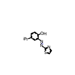 CC(C)c1ccc(O)c(/N=N/c2nccs2)c1